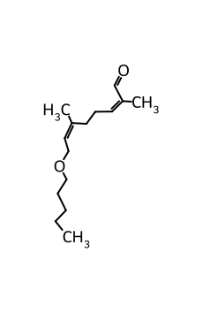 CCCCCOCC=C(C)CCC=C(C)C=O